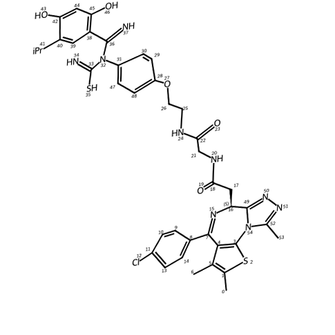 Cc1sc2c(c1C)C(c1ccc(Cl)cc1)=N[C@@H](CC(=O)NCC(=O)NCCOc1ccc(N(C(=N)S)C(=N)c3cc(C(C)C)c(O)cc3O)cc1)c1nnc(C)n1-2